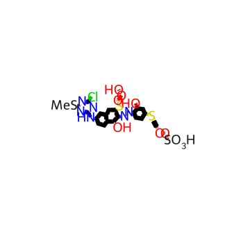 CSc1nc(Cl)nc(Nc2ccc3c(O)c(N=Nc4ccc(SC#COOS(=O)(=O)O)cc4O)c(SOOO)cc3c2)n1